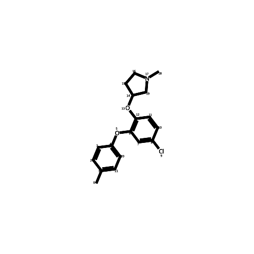 Cc1ccc(Oc2cc(Cl)ccc2OC2CCN(C)C2)cc1